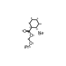 CC(C)OCOC(=O)C1CCCCC1.[Na]